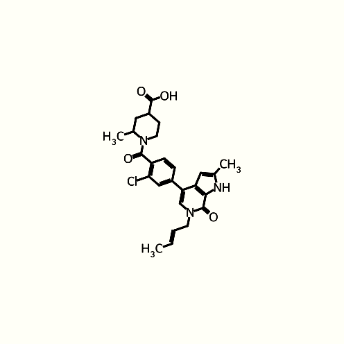 CC=CCn1cc(-c2ccc(C(=O)N3CCC(C(=O)O)CC3C)c(Cl)c2)c2cc(C)[nH]c2c1=O